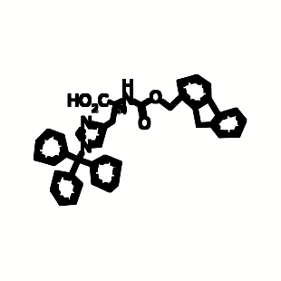 O=C(N[C@@H](Cc1cn(C(c2ccccc2)(c2ccccc2)c2ccccc2)cn1)C(=O)O)OCc1cccc2c1Cc1ccccc1-2